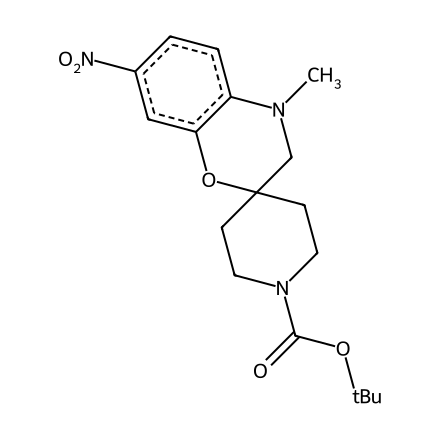 CN1CC2(CCN(C(=O)OC(C)(C)C)CC2)Oc2cc([N+](=O)[O-])ccc21